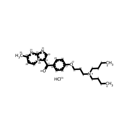 CCCCN(CCCC)CCCOc1ccc(C(=O)c2cnc3nc(C)ccn23)cc1.Cl